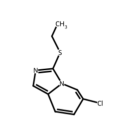 CCSc1ncc2ccc(Cl)cn12